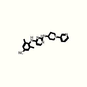 Cc1cc(C#N)cc(C)c1Nc1ccnc(NC2CCN(c3cccnc3)CC2)n1